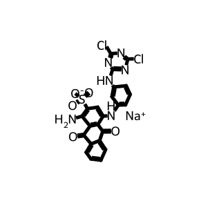 Nc1c(S(=O)(=O)[O-])cc(Nc2cccc(Nc3nc(Cl)nc(Cl)n3)c2)c2c1C(=O)c1ccccc1C2=O.[Na+]